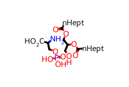 CCCCCCCC(=O)OCC(CO)OC(=O)CCCCCCC.NC(COP(=O)(O)O)C(=O)O